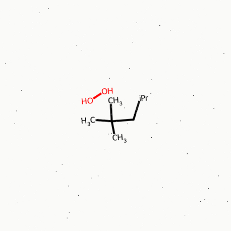 CC(C)CC(C)(C)C.OO